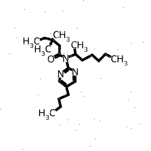 CCCCCC(C)N(C(=O)CC(C)(C)CC)c1ncc(CCCC)cn1